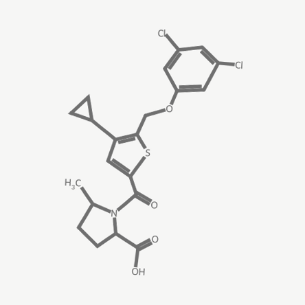 CC1CCC(C(=O)O)N1C(=O)c1cc(C2CC2)c(COc2cc(Cl)cc(Cl)c2)s1